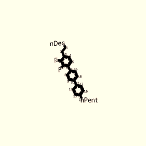 CCCCCCCCCCCCc1ccc(-c2ccc(-c3ccc(CCCCC)cc3)cc2)c(F)c1F